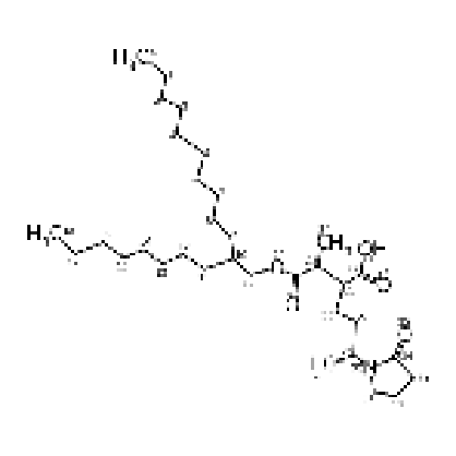 CCCCCCCCCCC(CCCCCCCC)COC(=O)C(C)C(CCC(C)N1CCCC1=O)C(=O)O